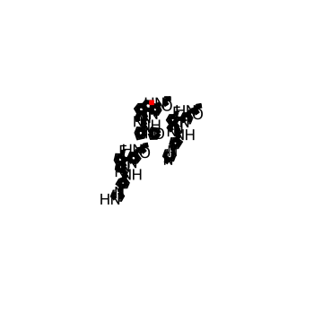 C=CC(=O)Nc1ccnc(-c2c(CC)ccc3cnc(Nc4ccccc4N4CCOCC4)nc23)c1.C=CC(=O)Nc1ccnc(-c2c(F)ccc3cnc(Nc4ccc(N5CCN(C)CC5)cc4)nc23)c1.C=CC(=O)Nc1ccnc(-c2c(F)ccc3cnc(Nc4ccc(N5CCNCC5)cc4)nc23)c1